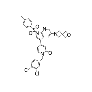 Cc1ccc(S(=O)(=O)n2cc(-c3ccn(Cc4ccc(Cl)c(Cl)c4)c(=O)c3)c3cc(N4CC5(COC5)C4)cnc32)cc1